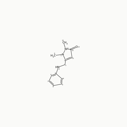 Cn1c(CNc2ccccc2)cc(=O)n1C